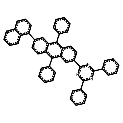 c1ccc(-c2nc(-c3ccccc3)nc(-c3ccc4c(-c5ccccc5)c5cc(-c6cccc7ccccc67)ccc5c(-c5ccccc5)c4c3)n2)cc1